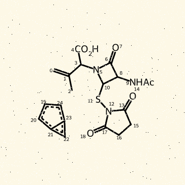 C=C(C)C(C(=O)O)N1C(=O)C(NC(C)=O)C1SN1C(=O)CCC1=O.c1cc2cc-2c1